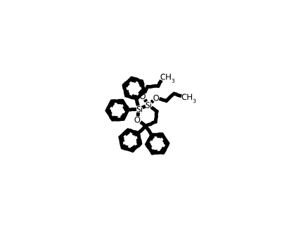 CCCO[Si]1(OCCC)CCC(c2ccccc2)(c2ccccc2)O[Si]1(c1ccccc1)c1ccccc1